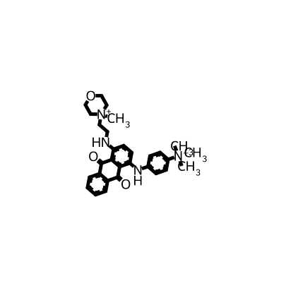 C[N+]1(CCNc2ccc(Nc3ccc([N+](C)(C)C)cc3)c3c2C(=O)c2ccccc2C3=O)CCOCC1